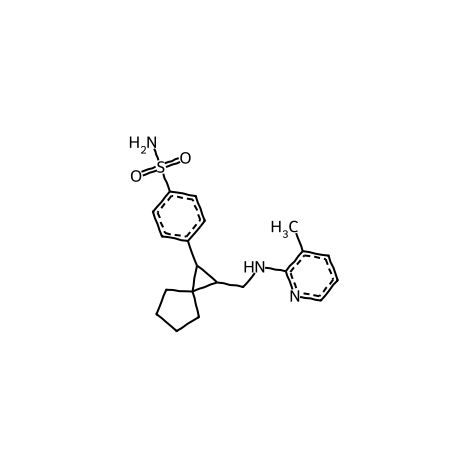 Cc1cccnc1NCC1C(c2ccc(S(N)(=O)=O)cc2)C12CCCC2